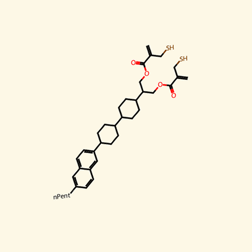 C=C(CS)C(=O)OCC(COC(=O)C(=C)CS)C1CCC(C2CCC(c3ccc4cc(CCCCC)ccc4c3)CC2)CC1